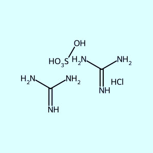 Cl.N=C(N)N.N=C(N)N.O=S(=O)(O)O